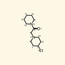 CCC1CCN(CC(=O)N2CCCCC2)CC1